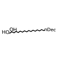 CCCCCCCCCCCCCCCCCCCCCCCCCC(O)CO